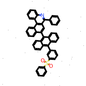 O=S(=O)(c1ccccc1)c1cccc(-c2c3ccccc3c(-c3cc4c(-c5ccccc5)nc5ccccc5c4c4ccccc34)c3ccccc23)c1